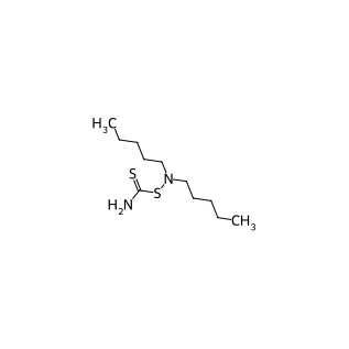 CCCCCN(CCCCC)SC(N)=S